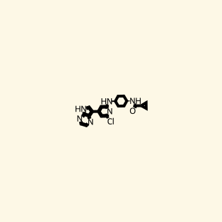 O=C(N[C@H]1CC[C@H](Nc2cc(-c3c[nH]c4nccnc34)cc(Cl)n2)CC1)C1CC1